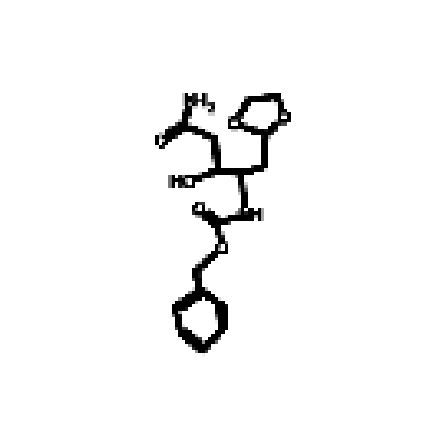 NC(=O)CC(O)C(CC1OCCO1)NC(=O)OCc1ccccc1